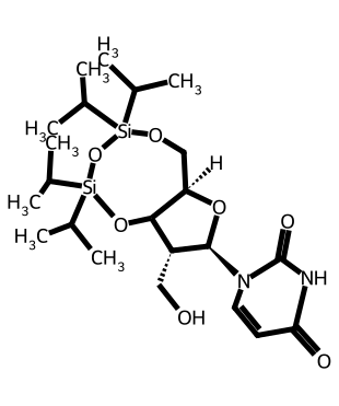 CC(C)[Si]1(C(C)C)OC[C@H]2O[C@@H](n3ccc(=O)[nH]c3=O)[C@H](CO)C2O[Si](C(C)C)(C(C)C)O1